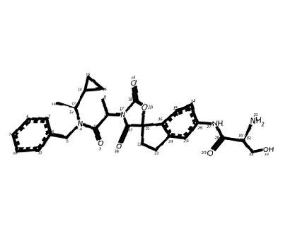 CC(C(=O)N(Cc1ccccc1)[C@@H](C)C1CC1)N1C(=O)OC2(CCc3cc(NC(=O)[C@@H](N)CO)ccc32)C1=O